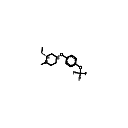 CC[C@@H]1C[C@H](Oc2ccc(OC(F)(F)F)cc2)CCN1C